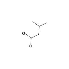 CC(C)CC([O])Cl